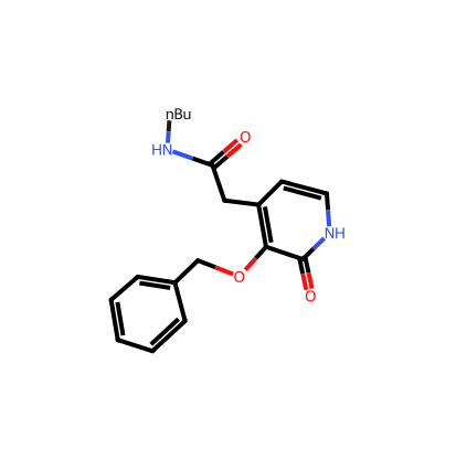 CCCCNC(=O)Cc1cc[nH]c(=O)c1OCc1ccccc1